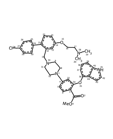 COC(=O)c1ccc(N2CCN(Cc3cc(OCCN(C)C)ccc3-c3ccc(Cl)cc3)CC2)cc1Oc1cccc2[nH]ccc12